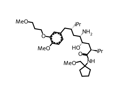 COCCCOc1cc(C[C@@H](C[C@H](N)[C@@H](O)C[C@H](C(=O)NC2(COC)CCCC2)C(C)C)C(C)C)ccc1OC